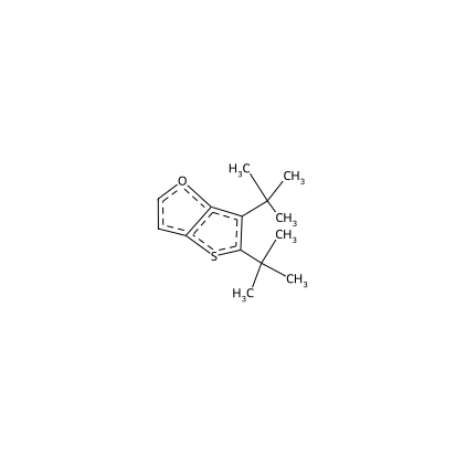 CC(C)(C)c1sc2ccoc2c1C(C)(C)C